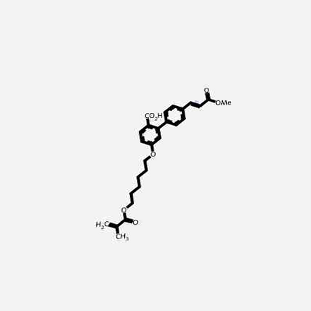 C=C(C)C(=O)OCCCCCCOc1ccc(C(=O)O)c(-c2ccc(/C=C/C(=O)OC)cc2)c1